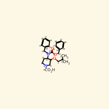 C=C(C)COC1CN(C(=O)O)CCC1N(Cc1ccccc1)C(=O)OCc1ccccc1